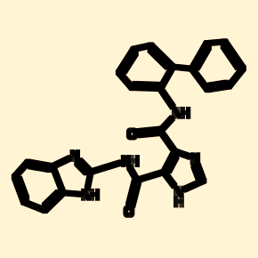 O=C(Nc1ccccc1-c1ccccc1)c1nc[nH]c1C(=O)Nc1nc2ccccc2[nH]1